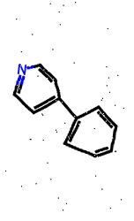 [c]1ccc(-c2ccncc2)cc1